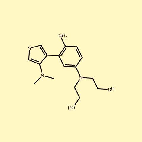 CN(C)c1cscc1-c1cc(N(CCO)CCO)ccc1N